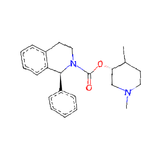 CC1CCN(C)C[C@@H]1OC(=O)N1CCc2ccccc2[C@@H]1c1ccccc1